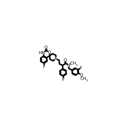 COc1ccc(CN(C)C(=O)C(CCN2CCC3(CC2)OC(=O)Nc2ccc(F)cc23)c2ccc(F)cc2)cc1F